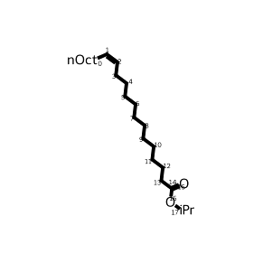 CCCCCCCC/C=C\CCCCCCCCCCCC(=O)OC(C)C